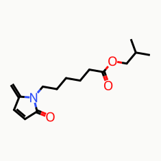 C=C1C=CC(=O)N1CCCCCC(=O)OCC(C)C